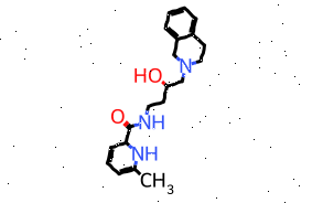 CC1=CC=CC(C(=O)NCCC(O)CN2CCc3ccccc3C2)N1